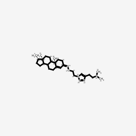 C[C@H]1CCC2C3CCC4=CC(=NOCCn5cc(CCN(C)C)nn5)CC[C@]4(C)C3CC[C@@]21C